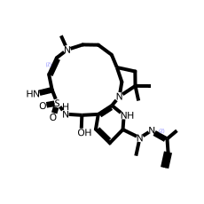 C#C/C(C)=N\N(C)C1C=CC2=C(N1)N1CC(CCCN(C)/C=C\C(=N)S(=O)(=O)NC2O)CC1(C)C